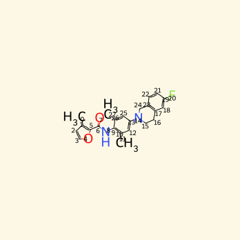 Cc1ccoc1C(=O)Nc1c(C)cc(N2CCc3cc(F)ccc3C2)cc1C